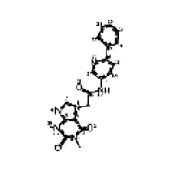 Cn1c(=O)c2c(ncn2CC(=O)Nc2ccc(-c3ccccc3)nc2)n(C)c1=O